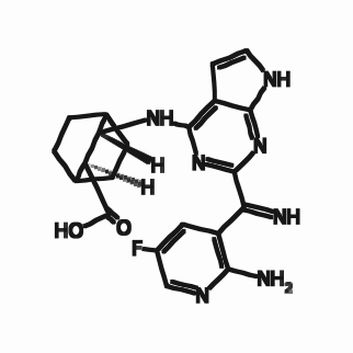 N=C(c1nc(N[C@H]2C3CCC(CC3)[C@@H]2C(=O)O)c2cc[nH]c2n1)c1cc(F)cnc1N